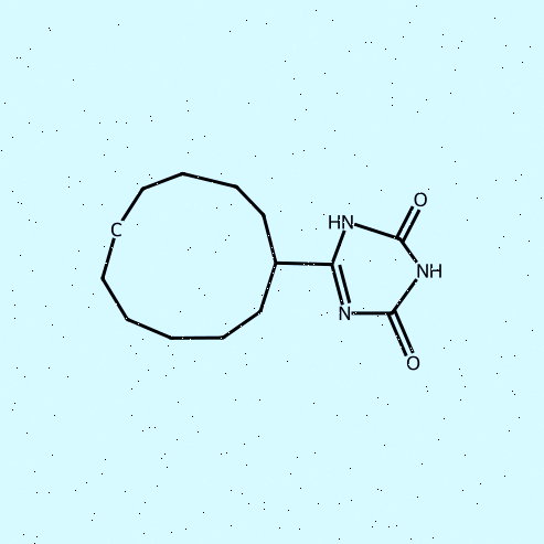 O=c1nc(C2CCCCCCCCCC2)[nH]c(=O)[nH]1